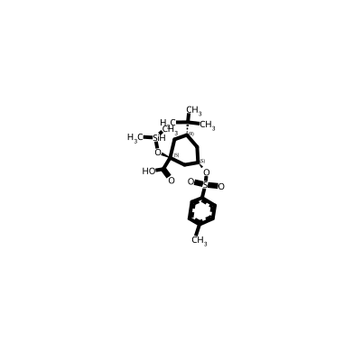 Cc1ccc(S(=O)(=O)O[C@H]2C[C@@H](C(C)(C)C)C[C@@](O[SiH](C)C)(C(=O)O)C2)cc1